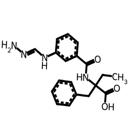 CCC(Cc1ccccc1)(NC(=O)c1cccc(NC=NN)c1)C(=O)O